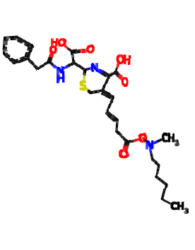 CCCCCCN(C)OC(=O)C/C=C/C=C1\CSC(C(NC(=O)Cc2ccccc2)C(=O)O)N=C1C(=O)O